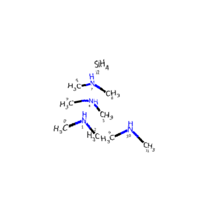 CNC.CNC.CNC.CNC.[SiH4]